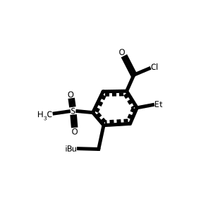 CCc1cc(CC(C)CC)c(S(C)(=O)=O)cc1C(=O)Cl